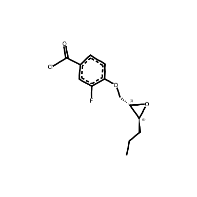 CCC[C@@H]1O[C@H]1COc1ccc(C(=O)Cl)cc1F